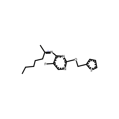 CCCCC/C(C)=N\c1nc(OCc2cccs2)ncc1F